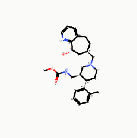 COC(=O)NC[C@H]1CN(C[C@@H]2CCc3cccnc3[C@@H](O)C2)CC[C@@H]1c1ccccc1C